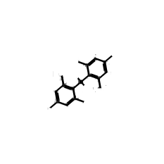 CCOC(=O)C(OC)(c1c(C)cc(C)cc1C)c1c(C)cc(C)cc1C